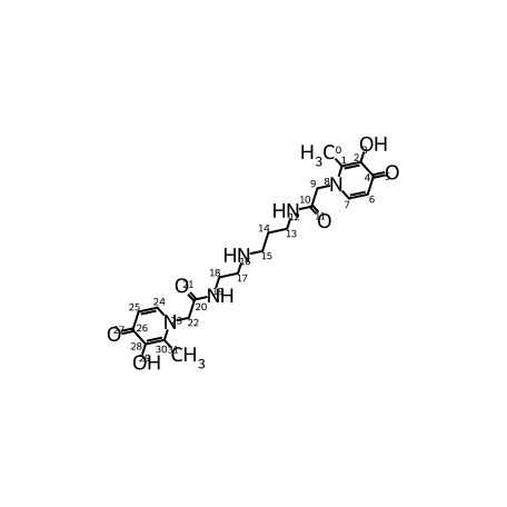 Cc1c(O)c(=O)ccn1CC(=O)NCCCNCCNC(=O)Cn1ccc(=O)c(O)c1C